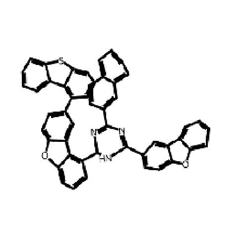 c1ccc2cc(C3=NC(c4cccc5oc6ccc(-c7cccc8sc9ccccc9c78)cc6c45)NC(c4ccc5oc6ccccc6c5c4)=N3)ccc2c1